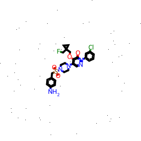 Nc1ccc(CS(=O)(=O)N2CCN(c3cnn(-c4cccc(Cl)c4)c(=O)c3OCC3(CF)CC3)CC2)cc1